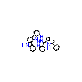 C/C(NCc1ccccc1)=C(\NNn1c2ccccc2c2ccc3[nH]c4ccccc4c3c21)c1ccccc1